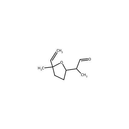 C=CC1(C)CCC(C(C)C=O)O1